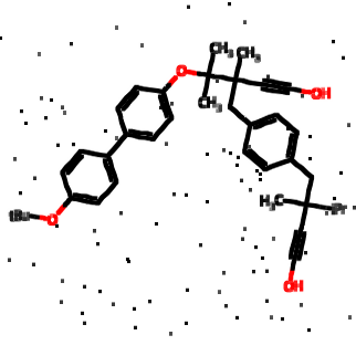 CC(C)C(C)(C#CO)Cc1ccc(CC(C)(C#CO)C(C)(C)Oc2ccc(-c3ccc(OC(C)(C)C)cc3)cc2)cc1